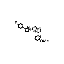 COc1cccc(-c2cnc3ccc(-n4ccc(-c5ccc(F)cc5)n4)cn23)n1